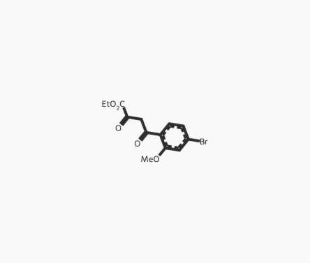 CCOC(=O)C(=O)CC(=O)c1ccc(Br)cc1OC